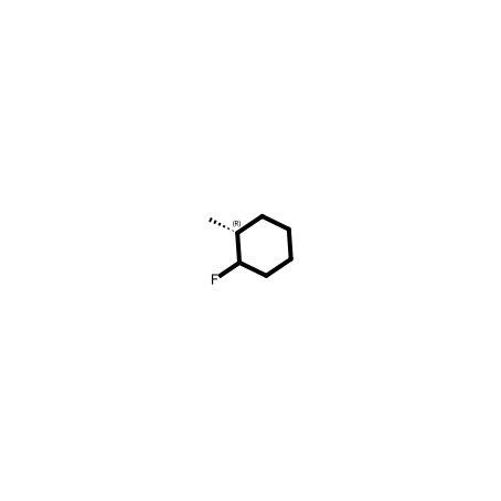 C[C@@H]1CCCCC1F